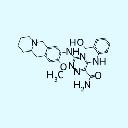 COc1cc2c(cc1Nc1nnc(C(N)=O)c(Nc3ccccc3CO)n1)CN1CCCCC1C2